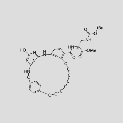 COC(=O)[C@@H](CNC(=O)OC(C)(C)C)NC(=O)c1ccc2cc1OCCCCCCOc1ccc(cc1)CNc1nc(O)nc(n1)N2